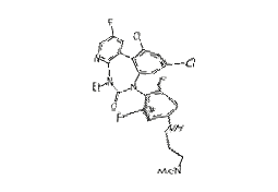 CCN1C(=O)N(c2c(F)cc(NCCNC)cc2F)c2cc(Cl)cc(Cl)c2-c2cc(F)cnc21